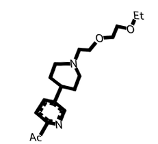 CCOCCOCCN1CCC(c2ccc(C(C)=O)nc2)CC1